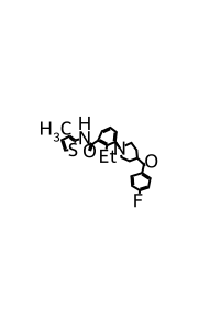 CCc1c(C(=O)Nc2sccc2C)cccc1N1CCC(C(=O)c2ccc(F)cc2)CC1